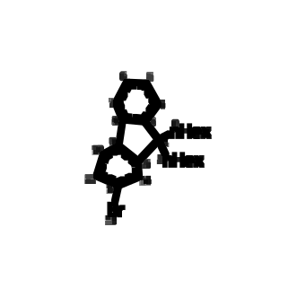 CCCCCCC1(CCCCCC)c2ccccc2-c2ccc(Br)cc21